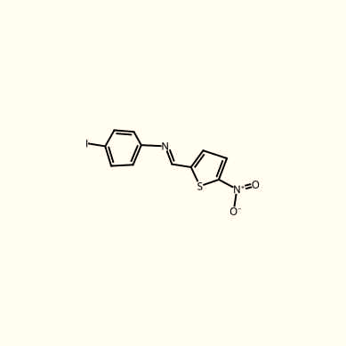 O=[N+]([O-])c1ccc(/C=N/c2ccc(I)cc2)s1